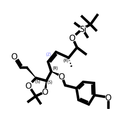 COc1ccc(CO[C@H](/C=C\[C@@H](C)C(C)O[Si](C)(C)C(C)(C)C)[C@H]2OC(C)(C)O[C@H]2CC=O)cc1